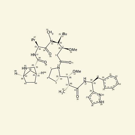 CC[C@H](C)[C@@H]([C@H](CC(=O)N1CCC[C@H]1[C@H](OC)[C@@H](C)C(=O)N[C@@H](Cc1ccccc1)c1cc[nH]n1)OC)N(C)C(=O)[C@@H](NC(=O)[C@H]1N[C@@H]2CC[C@H]1C2)C(C)C